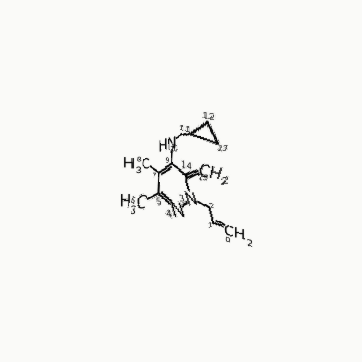 C=CCN1N=C(C)C(C)=C(NC2CC2)C1=C